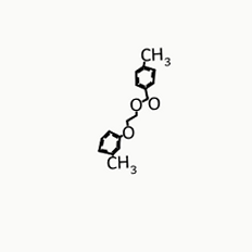 Cc1ccc(C(=O)OCCOc2cccc(C)c2)cc1